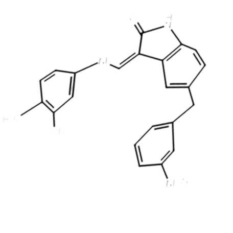 CC(=O)Nc1cccc(Cc2ccc3c(c2)C(=CNc2ccc(C)c(O)c2)C(=O)N3)c1